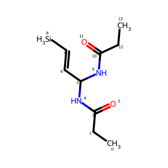 CCC(=O)NC(C=C[SiH3])NC(=O)CC